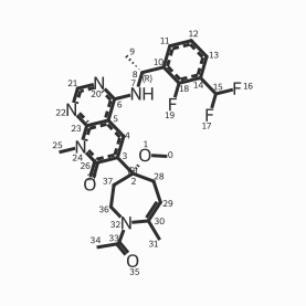 CO[C@]1(c2cc3c(N[C@H](C)c4cccc(C(F)F)c4F)ncnc3n(C)c2=O)CC=C(C)N(C(C)=O)CC1